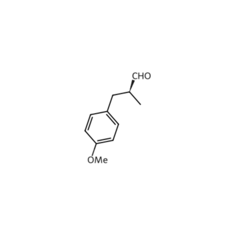 COc1ccc(C[C@H](C)C=O)cc1